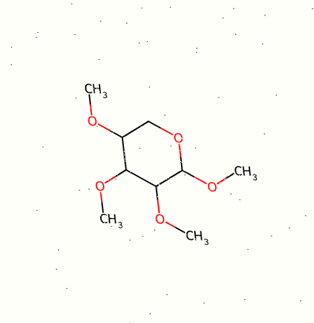 COC1COC(OC)C(OC)C1OC